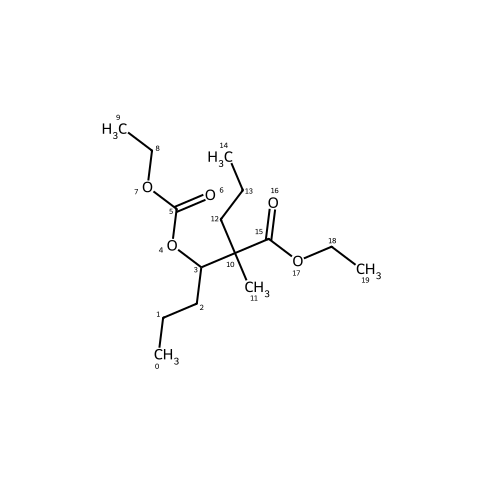 CCCC(OC(=O)OCC)C(C)(CCC)C(=O)OCC